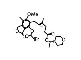 COc1c(C)c2c(c(OC(=O)C(C)C)c1C/C=C(\C)CCC(=O)OC(C)N1CCOCC1)C(=O)OC2